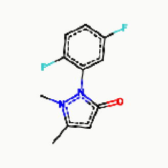 Cc1cc(=O)n(-c2cc(F)ccc2F)n1C